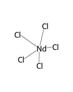 [Cl][Nd]([Cl])([Cl])([Cl])[Cl]